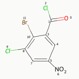 O=C(Cl)c1cc([N+](=O)[O-])cc(Cl)c1Br